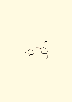 C=CC1CC(C=C)C(Cn2cc[n+](C)c2)C1